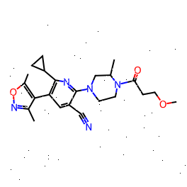 COCCC(=O)N1CCN(c2nc(C3CC3)c(-c3c(C)noc3C)cc2C#N)CC1C